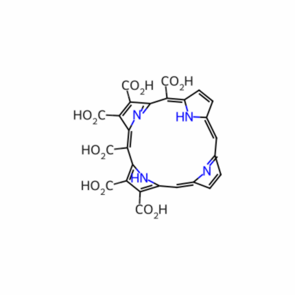 O=C(O)C1=C(C(=O)O)c2nc1c(C(=O)O)c1ccc(cc3nc(cc4[nH]c(c2C(=O)O)c(C(=O)O)c4C(=O)O)C=C3)[nH]1